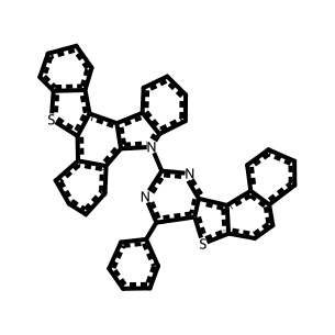 c1ccc(-c2nc(-n3c4ccccc4c4c5c6ccccc6sc5c5ccccc5c43)nc3c2sc2ccc4ccccc4c23)cc1